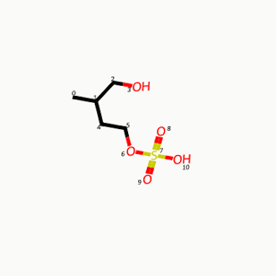 CC(CO)CCOS(=O)(=O)O